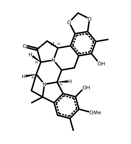 COc1c(C)cc2c(c1O)[C@H]1C3Cc4c(O)c(C)c5c(c4[C@@H]4CC(=O)[C@@H]([C@H]6CC2(C)N61)N34)OCO5